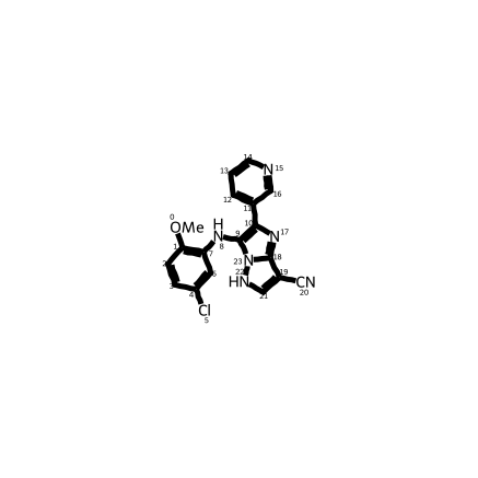 COc1ccc(Cl)cc1Nc1c(-c2cccnc2)nc2c(C#N)c[nH]n12